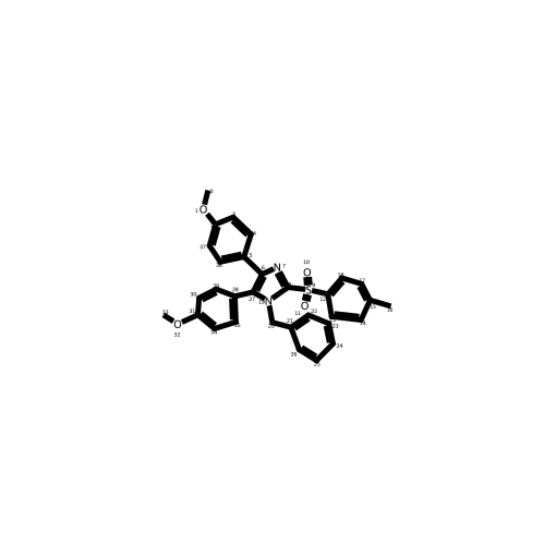 COc1ccc(-c2nc(S(=O)(=O)c3ccc(C)cc3)n(Cc3ccccc3)c2-c2ccc(OC)cc2)cc1